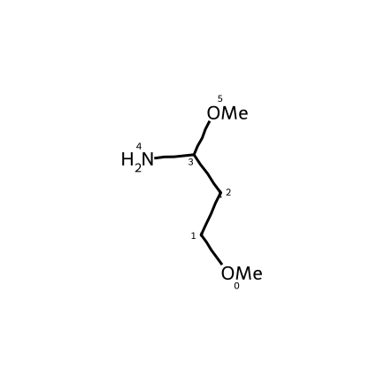 COC[CH]C(N)OC